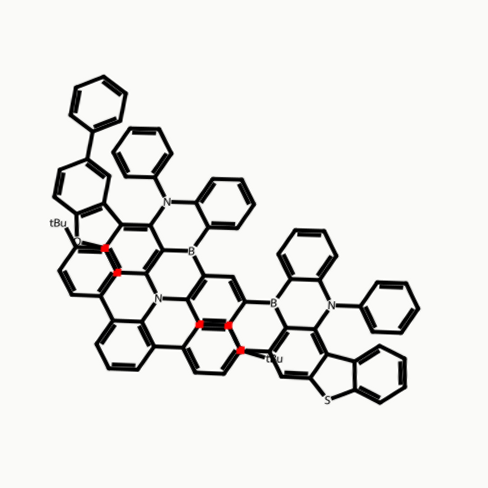 CC(C)(C)c1ccc(-c2cccc(-c3ccc(C(C)(C)C)cc3)c2N2c3cc4c(cc3B3c5ccccc5N(c5ccccc5)c5c3c2cc2oc3ccc(-c6ccccc6)cc3c52)B2c3ccccc3N(c3ccccc3)c3c2c(cc2sc5ccccc5c32)O4)cc1